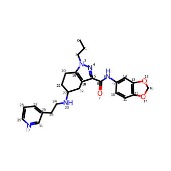 CCCn1nc(C(=O)Nc2ccc3c(c2)OCO3)c2c1CCC(NCCc1cccnc1)C2